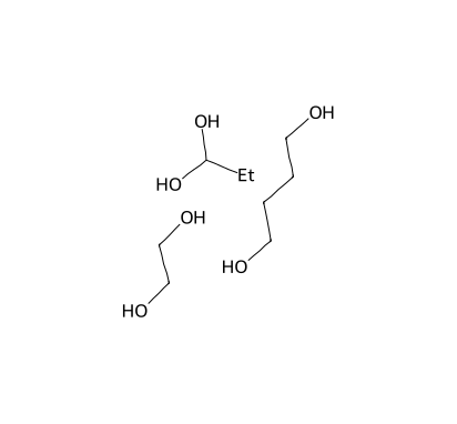 CCC(O)O.OCCCCO.OCCO